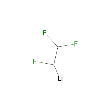 [Li][CH](F)C(F)F